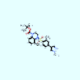 Cc1cc(-c2cnn(C)c2)ccc1S(=O)(=O)N1CCN(C(=O)OC(C)(C)C)c2cccc(C)c21